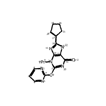 CCCn1c(Oc2ncccn2)nc(=O)c2c1N=C(C1CCCC1)[N]2